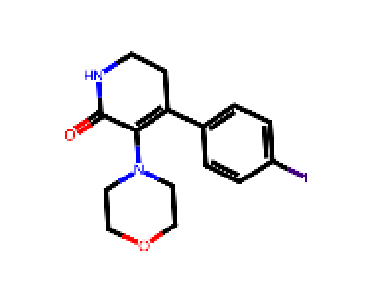 O=C1NCCC(c2ccc(I)cc2)=C1N1CCOCC1